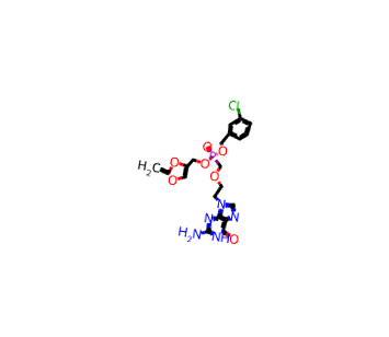 C=C1OC=C(COP(=O)(COCCn2cnc3c(=O)[nH]c(N)nc32)OCc2cccc(Cl)c2)O1